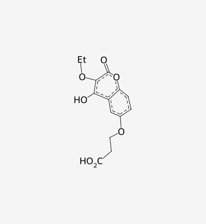 CCOc1c(O)c2cc(OCCC(=O)O)ccc2oc1=O